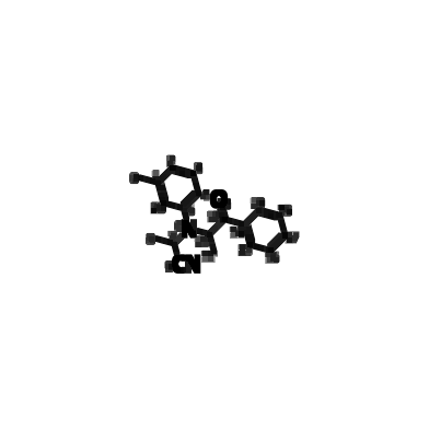 Cc1cccc(N(C(C)C#N)C(C)C(=O)c2ccccc2)c1